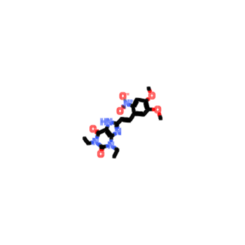 CCn1c(=O)c2[nH]c(C=Cc3cc(OC)c(OC)cc3[N+](=O)[O-])nc2n(CC)c1=O